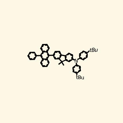 CC(C)(C)c1ccc(N(c2ccc(C(C)(C)C)cc2)c2ccc3c(c2)C(C)(C)c2cc(-c4c5ccccc5c(-c5ccccc5)c5ccccc45)ccc2-3)cc1